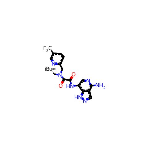 CC[C@@H](C)CN(Cc1ccc(C(F)(F)F)cn1)C(=O)C(=O)Nc1cnc(N)c2cn[nH]c12